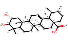 C[C@H]1[C@H](C)CC[C@]2(C(=O)O)CC[C@]3(C)C(=CC[C@@H]4[C@@]5(C)C[C@@H](O)[C@H](O)C(C)(C)C5CC[C@]43C)[C@@H]12